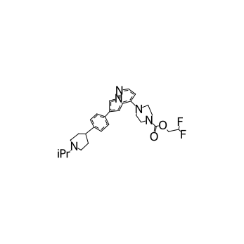 CC(C)N1CCC(c2ccc(-c3cc4c(N5CCN(C(=O)OCC(F)F)CC5)ccnn4c3)cc2)CC1